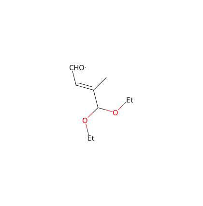 CCOC(OCC)C(C)=C[C]=O